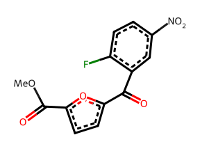 COC(=O)c1ccc(C(=O)c2cc([N+](=O)[O-])ccc2F)o1